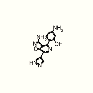 Nc1[c]cc(-c2ncc(-c3cn[nH]c3)c3onc(N)c23)c(O)c1